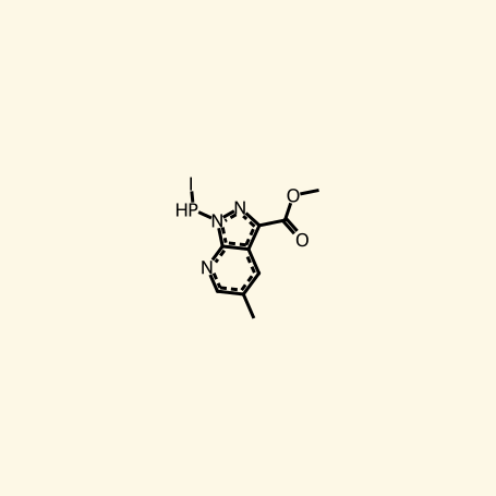 COC(=O)c1nn(PI)c2ncc(C)cc12